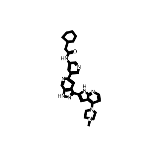 CN1CCN(c2ccnc3[nH]c(-c4n[nH]c5cnc(-c6cncc(NC(=O)CC7CCCCC7)c6)cc45)cc23)CC1